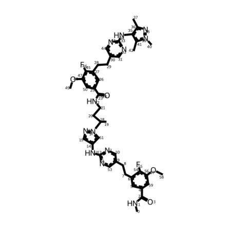 CNC(=O)c1cc(CCc2cnc(Nc3cnn(C(C)CCNC(=O)c4cc(CCc5cnc(Nc6c(C)nn(C)c6C)nc5)c(F)c(OC)c4)c3)nc2)c(F)c(OC)c1